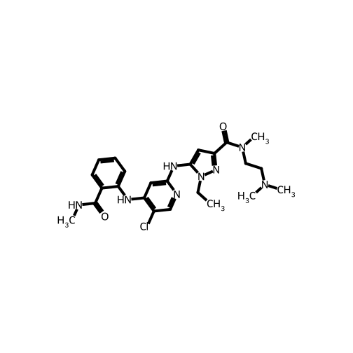 CCn1nc(C(=O)N(C)CCN(C)C)cc1Nc1cc(Nc2ccccc2C(=O)NC)c(Cl)cn1